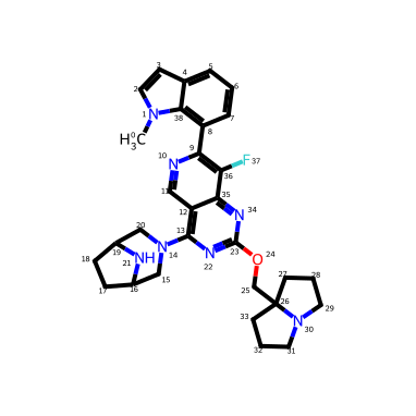 Cn1ccc2cccc(-c3ncc4c(N5CC6CCC(C5)N6)nc(OCC56CCCN5CCC6)nc4c3F)c21